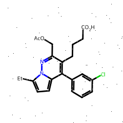 CCc1ccc2c(-c3cccc(Cl)c3)c(CCCC(=O)O)c(COC(C)=O)nn12